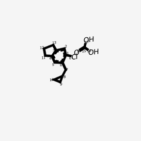 Clc1cc2c(cc1CC1CC1)CCC2.O=C(O)O